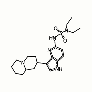 CCN(CC)S(=O)(=O)Nc1ccc2[nH]cc(C3CCN4CCCCC4C3)c2n1